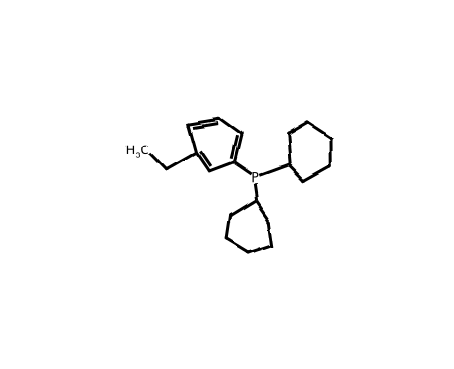 CCc1cccc(P(C2CCCCC2)C2CCCCC2)c1